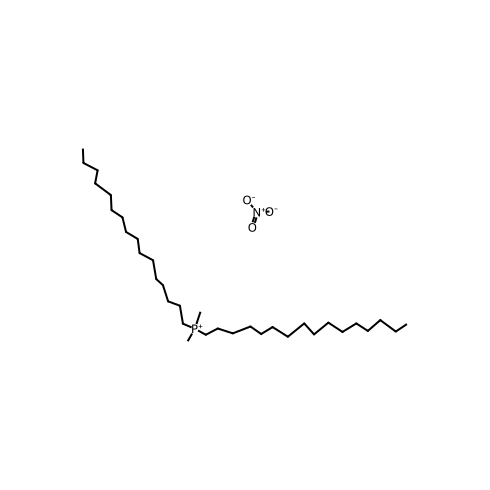 CCCCCCCCCCCCCCCC[P+](C)(C)CCCCCCCCCCCCCCCC.O=[N+]([O-])[O-]